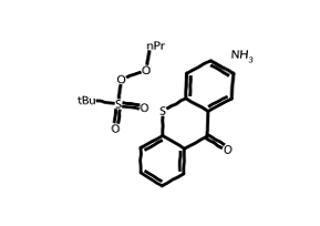 CCCOOS(=O)(=O)C(C)(C)C.N.O=c1c2ccccc2sc2ccccc12